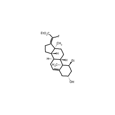 CCOC(=O)C(F)=C1CC[C@H]2[C@@H]3CC=C4C[C@@H](O)C[C@H](CC)[C@]4(C)[C@H]3CC[C@]12C